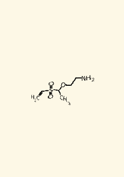 C=CS(=O)(=O)C(C)OCCN